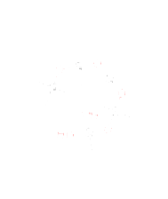 C[Si](C)(C)O[Si](C)(C)O[Si](C)(C)O[Si](C)(C)O[Si](C)(O)O